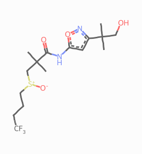 CC(C)(C[S+]([O-])CCCC(F)(F)F)C(=O)Nc1cc(C(C)(C)CO)no1